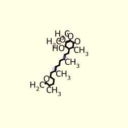 C=C1OC(C/C(C)=C/CC/C(C)=C/CC2C(C)C(=O)C(OC)=C(OC)C2O)CCC1C